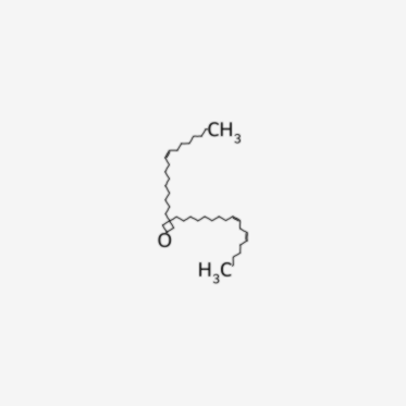 CCCCC/C=C\C/C=C\CCCCCCCCC1(CCCCCCCC/C=C\CCCCCCC)CC(=O)C1